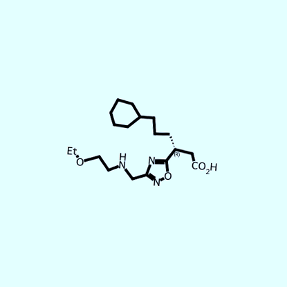 CCOCCNCc1noc([C@H](CCCC2CCCCC2)CC(=O)O)n1